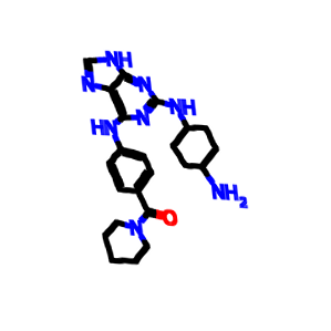 NC1CCC(Nc2nc(Nc3ccc(C(=O)N4CCCCC4)cc3)c3nc[nH]c3n2)CC1